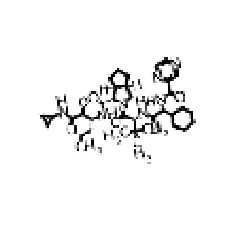 CCC[C@@H](NC(=O)[C@H]1[C@H]2CCC[C@@H]2CN1C(=O)[C@H](NC(=O)[C@@H](NC(=O)c1cnccn1)C1CCCCC1)C(C)(C)C)C(=O)C(=O)NC1CC1